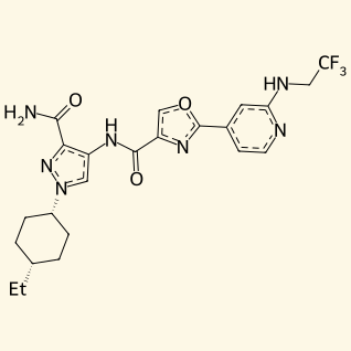 CC[C@H]1CC[C@@H](n2cc(NC(=O)c3coc(-c4ccnc(NCC(F)(F)F)c4)n3)c(C(N)=O)n2)CC1